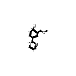 COCc1cc(-c2ncccn2)ccc1Cl